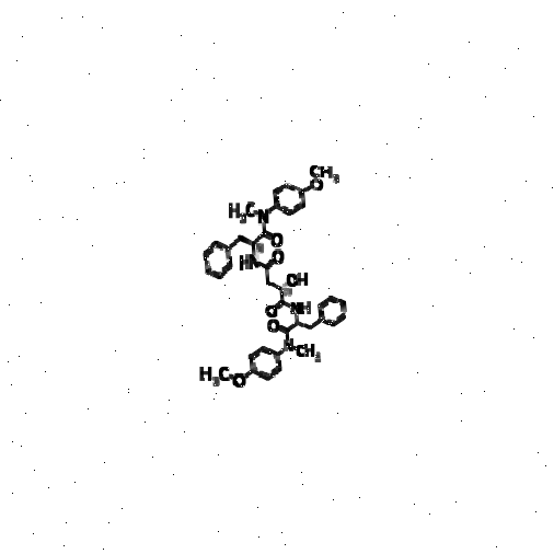 COc1ccc(N(C)C(=O)C(Cc2ccccc2)NC(=O)[C@@H](O)CC(=O)N[C@@H](Cc2ccccc2)C(=O)N(C)c2ccc(OC)cc2)cc1